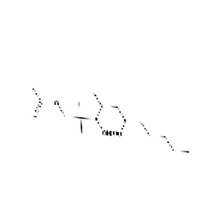 CCCCCC(O)CC(C)C(O)C(C)(C)COC(C)=O